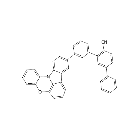 N#Cc1ccc(-c2ccccc2)cc1-c1cccc(-c2ccc3c(c2)c2cccc4c2n3-c2ccccc2O4)c1